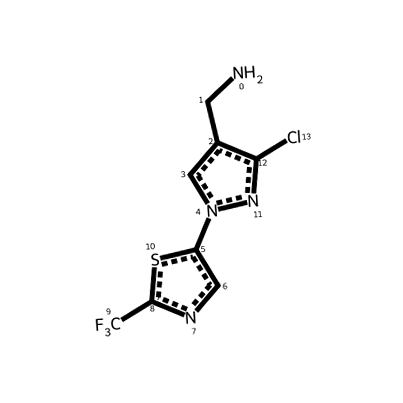 NCc1cn(-c2cnc(C(F)(F)F)s2)nc1Cl